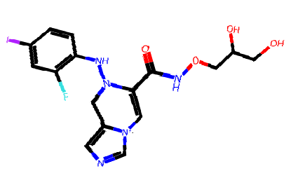 O=C(NOCC(O)CO)C1=C[N+]2C=NC=C2CN1Nc1ccc(I)cc1F